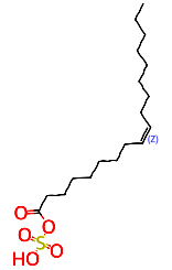 CCCCCCCC/C=C\CCCCCCCC(=O)OS(=O)(=O)O